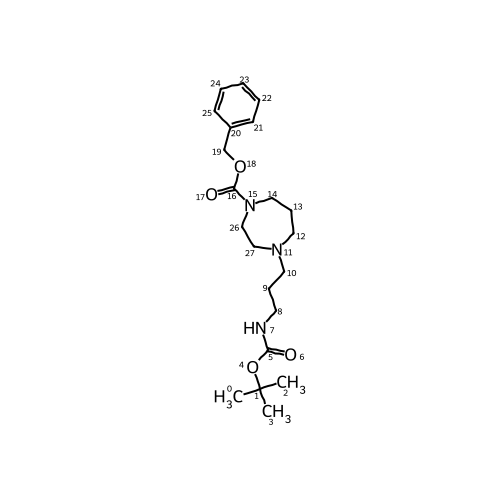 CC(C)(C)OC(=O)NCCCN1CCCN(C(=O)OCc2ccccc2)CC1